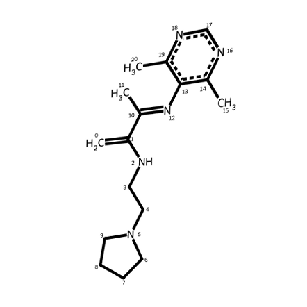 C=C(NCCN1CCCC1)/C(C)=N/c1c(C)ncnc1C